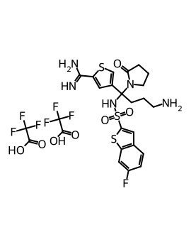 N=C(N)c1cc(C(CCCN)(NS(=O)(=O)c2cc3ccc(F)cc3s2)N2CCCC2=O)cs1.O=C(O)C(F)(F)F.O=C(O)C(F)(F)F